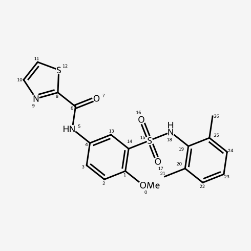 COc1ccc(NC(=O)c2nccs2)cc1S(=O)(=O)Nc1c(C)cccc1C